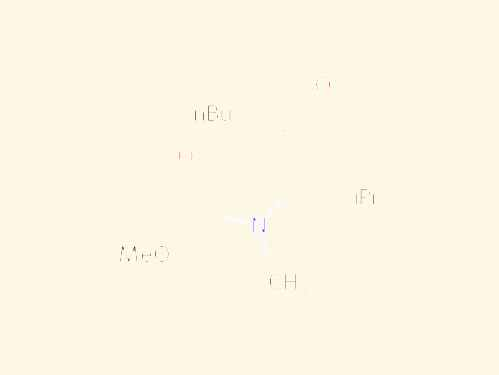 CCCCC(=O)[C@H](C(C)C)N(C)C(=O)OC